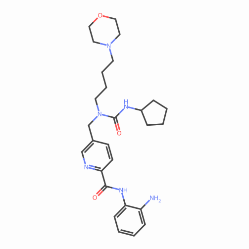 Nc1ccccc1NC(=O)c1ccc(CN(CCCCN2CCOCC2)C(=O)NC2CCCC2)cn1